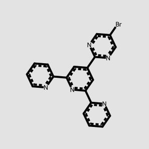 Brc1cnc(-c2cc(-c3ccccn3)nc(-c3ccccn3)c2)nc1